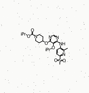 Cc1nc(S(C)(=O)=O)ccc1Nc1ncnc(OC2CCN(C(=O)OC(C)C)CC2)c1OC(C)C